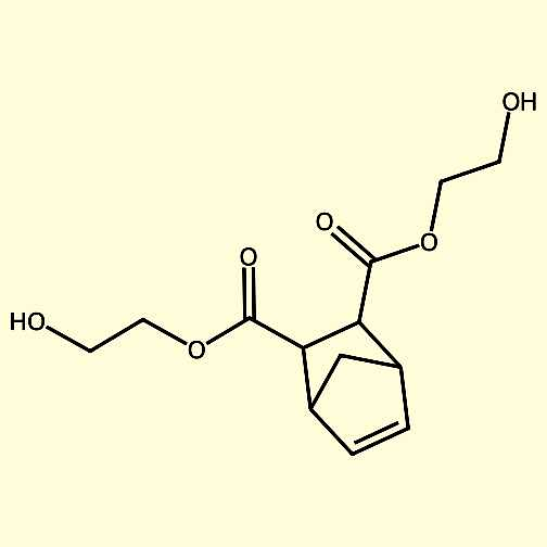 O=C(OCCO)C1C2C=CC(C2)C1C(=O)OCCO